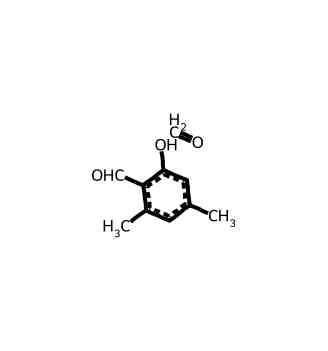 C=O.Cc1cc(C)c(C=O)c(O)c1